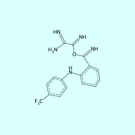 N=C(N)C(=N)OC(=N)c1ccccc1Nc1ccc(C(F)(F)F)cc1